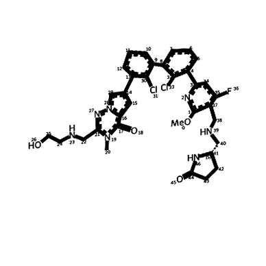 COc1nc(-c2cccc(-c3cccc(-c4cc5c(=O)n(C)c(CNCCO)nn5c4)c3Cl)c2Cl)cc(F)c1CNC[C@@H]1CCC(=O)N1